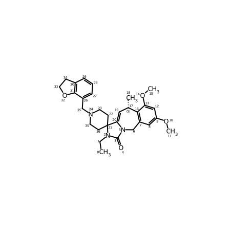 CCN1C(=O)N2Cc3cc(OC)cc(OC)c3[C@@H](C)C=C2C12CCN(Cc1cccc3c1OCC3)CC2